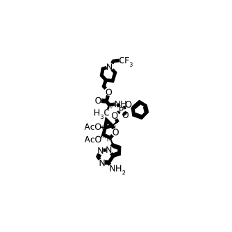 CC(=O)O[C@H]1[C@H](c2ccc3c(N)ncnn23)O[C@@]2(COP(=O)(N[C@@H](C)C(=O)OCC3CCN(CC(F)(F)F)CC3)Oc3ccccc3)C[C@]12OC(C)=O